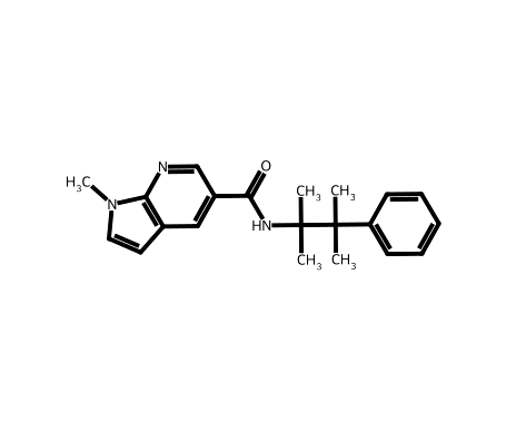 Cn1ccc2cc(C(=O)NC(C)(C)C(C)(C)c3ccccc3)cnc21